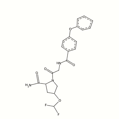 NC(=O)C1CC(OC(F)F)CN1C(=O)CNC(=O)c1ccc(Oc2ccccc2)cc1